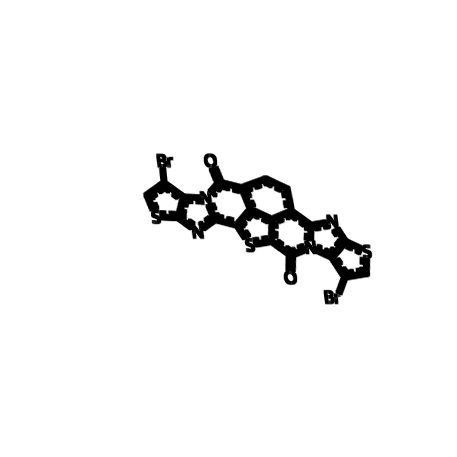 O=c1c2sc3c4c(ccc(c24)c2nc4scc(Br)c4n12)c(=O)n1c3nc2scc(Br)c21